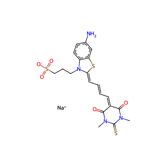 CN1C(=O)C(=C/C=C/C=C2\Sc3cc(N)ccc3N2CCCS(=O)(=O)[O-])C(=O)N(C)C1=S.[Na+]